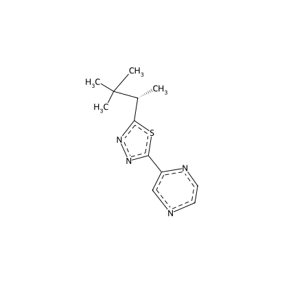 C[C@H](c1nnc(-c2cnccn2)s1)C(C)(C)C